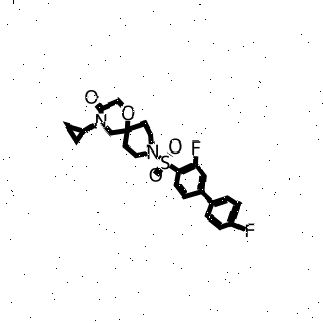 O=C1COC2(CCN(S(=O)(=O)c3ccc(-c4ccc(F)cc4)cc3F)CC2)CN1C1CC1